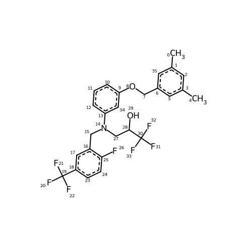 Cc1cc(C)cc(COc2cccc(N(Cc3cc(C(F)(F)F)ccc3F)CC(O)C(F)(F)F)c2)c1